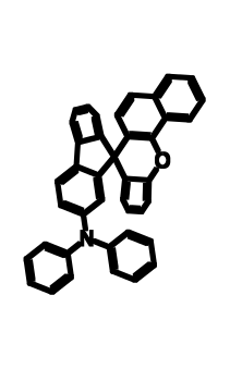 c1ccc(N(c2ccccc2)c2ccc3c(c2)C2(c4ccccc4Oc4c2ccc2ccccc42)c2ccccc2-3)cc1